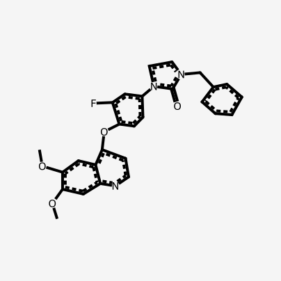 COc1cc2nccc(Oc3ccc(-n4ccn(Cc5ccccc5)c4=O)cc3F)c2cc1OC